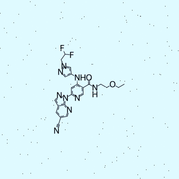 CCOCCNC(=O)c1cnc(-n2ncc3cc(C#N)cnc32)cc1Nc1cnn(CC(F)F)c1